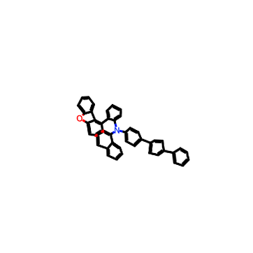 c1ccc(-c2ccc(-c3ccc(N(c4ccccc4-c4cccc5oc6ccccc6c45)c4cccc5ccccc45)cc3)cc2)cc1